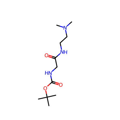 CN(C)CCNC(=O)CNC(=O)OC(C)(C)C